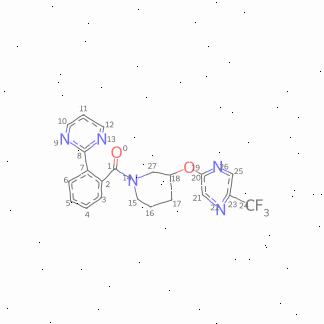 O=C(c1ccccc1-c1ncccn1)N1CCCC(Oc2cnc(C(F)(F)F)cn2)C1